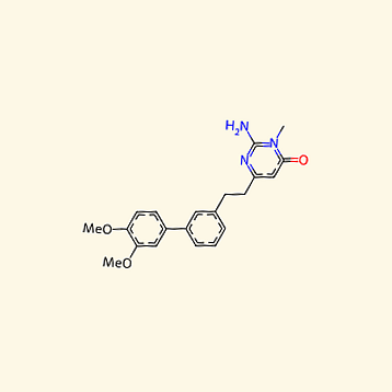 COc1ccc(-c2cccc(CCc3cc(=O)n(C)c(N)n3)c2)cc1OC